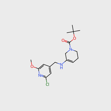 COc1cc(CNC2=CCCN(C(=O)OC(C)(C)C)C2)cc(Cl)n1